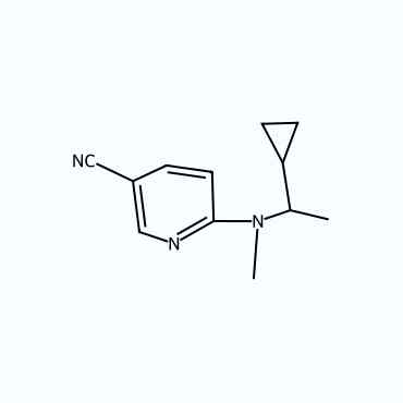 CC(C1CC1)N(C)c1ccc(C#N)cn1